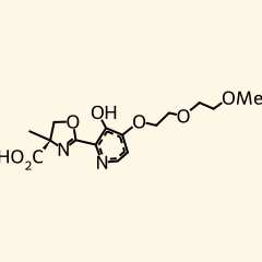 COCCOCCOc1ccnc(C2=N[C@@](C)(C(=O)O)CO2)c1O